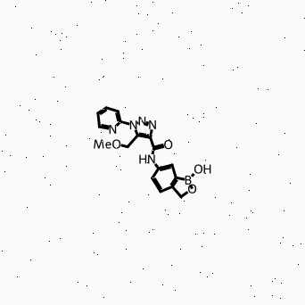 COCc1c(C(=O)Nc2ccc3c(c2)B(O)OC3)nnn1-c1ccccn1